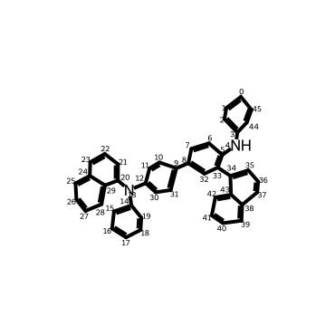 c1ccc(Nc2ccc(-c3ccc(N(c4ccccc4)c4cccc5ccccc45)cc3)cc2-c2cccc3ccccc23)cc1